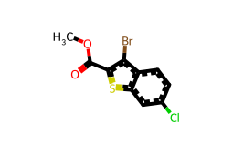 COC(=O)c1sc2cc(Cl)ccc2c1Br